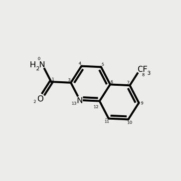 NC(=O)c1ccc2c(C(F)(F)F)cc[c]c2n1